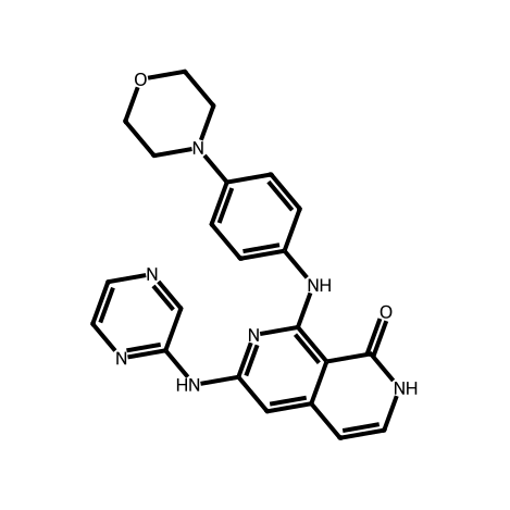 O=c1[nH]ccc2cc(Nc3cnccn3)nc(Nc3ccc(N4CCOCC4)cc3)c12